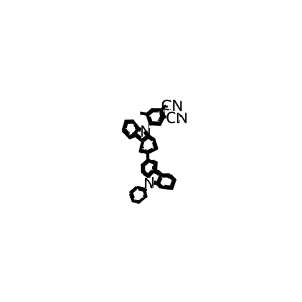 Cc1cc(C#N)c(C#N)cc1-n1c2ccccc2c2cc(-c3ccc4c(c3)c3ccccc3n4-c3ccccc3)ccc21